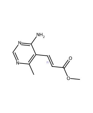 COC(=O)/C=C/c1c(C)ncnc1N